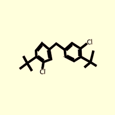 CC(C)(C)c1c[c]c(Cc2[c]cc(C(C)(C)C)c(Cl)c2)cc1Cl